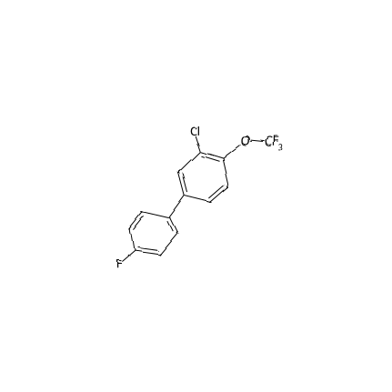 Fc1ccc(-c2ccc(OC(F)(F)F)c(Cl)c2)cc1